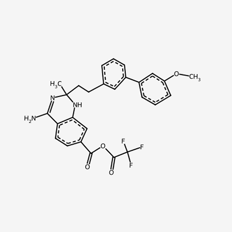 COc1cccc(-c2cccc(CCC3(C)N=C(N)c4ccc(C(=O)OC(=O)C(F)(F)F)cc4N3)c2)c1